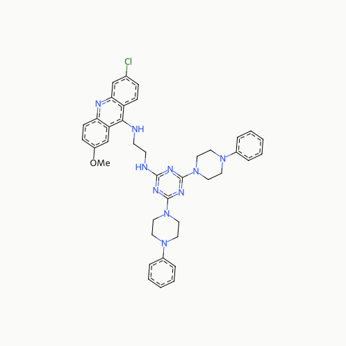 COc1ccc2nc3cc(Cl)ccc3c(NCCNc3nc(N4CCN(c5ccccc5)CC4)nc(N4CCN(c5ccccc5)CC4)n3)c2c1